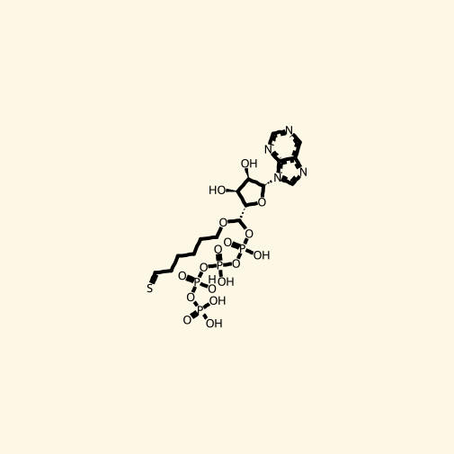 O=P(O)(O)OP(=O)(O)OP(=O)(O)OP(=O)(O)OC(OCCCCCC=S)[C@H]1O[C@@H](n2cnc3cncnc32)[C@H](O)[C@@H]1O